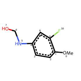 COc1ccc(NCO)cc1F